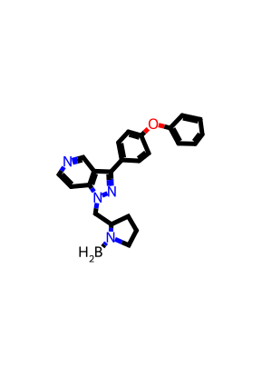 BN1CCCC1Cn1nc(-c2ccc(Oc3ccccc3)cc2)c2cnccc21